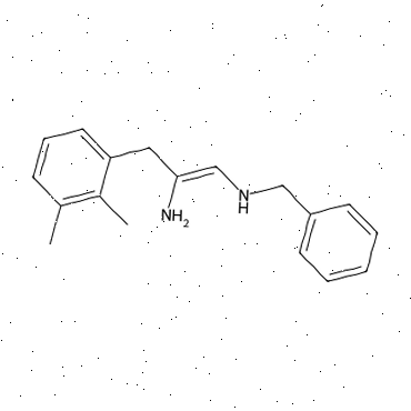 Cc1cccc(CC(N)=CNCc2ccccc2)c1C